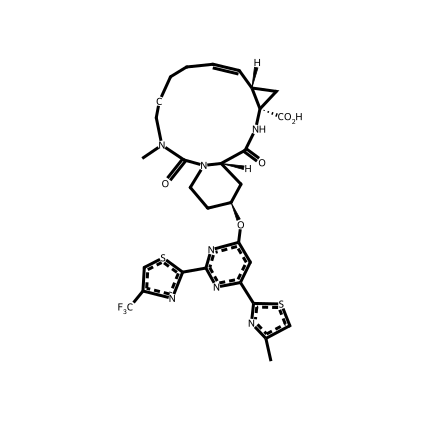 Cc1csc(-c2cc(O[C@H]3CCN4C(=O)N(C)CCCCC=C[C@@H]5C[C@@]5(C(=O)O)NC(=O)[C@@H]4C3)nc(-c3nc(C(F)(F)F)cs3)n2)n1